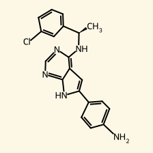 C[C@@H](Nc1ncnc2[nH]c(-c3ccc(N)cc3)cc12)c1cccc(Cl)c1